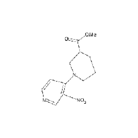 COC(=O)C1CCCN(c2ccncc2[N+](=O)[O-])C1